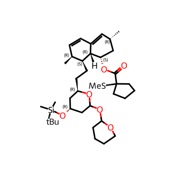 CSC1(C(=O)O[C@H]2C[C@@H](C)C=C3C=C[C@H](C)[C@H](CC[C@@H]4C[C@@H](O[Si](C)(C)C(C)(C)C)CC(OC5CCCCO5)O4)[C@H]32)CCCC1